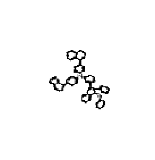 c1ccc(-n2c3ccccc3c3c(-c4cccc(N(c5ccc(-c6cccc7ccccc67)cc5)c5ccc(-c6cccc7ccccc67)cc5)c4)cc4ccccc4c32)cc1